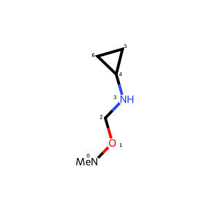 CNOCNC1CC1